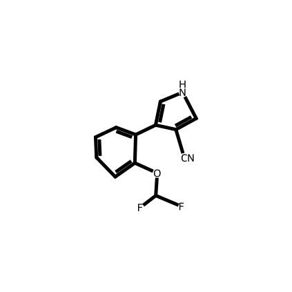 N#Cc1c[nH]cc1-c1ccccc1OC(F)F